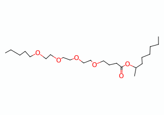 CCCCCCC(C)OC(=O)CCCOCCOCCOCCOCCCCC